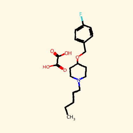 CCCCCN1CCC(OCc2ccc(F)cc2)CC1.O=C(O)C(=O)O